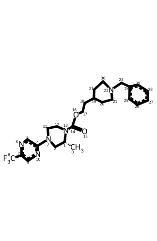 C[C@@H]1CN(c2cnc(C(F)(F)F)cn2)CCN1C(=O)OCCC1CCN(Cc2ccccc2)CC1